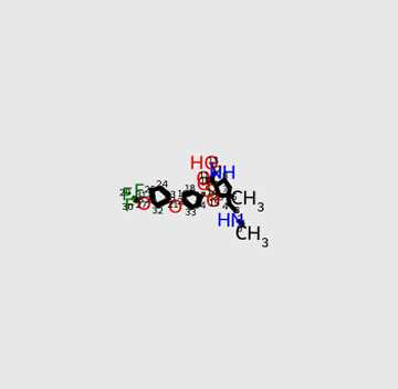 CCNCCC1(C)CCC(C(=O)NO)(S(=O)(=O)c2ccc(Oc3cccc(OC(F)(F)F)c3)cc2)C1